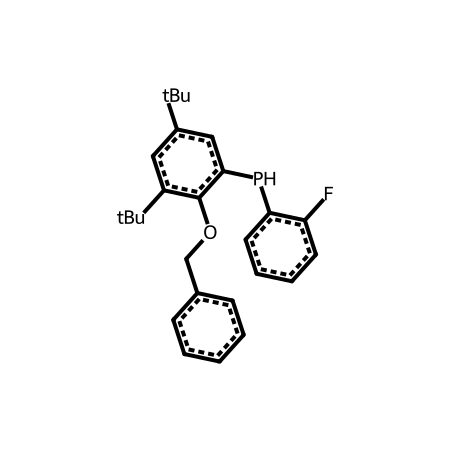 CC(C)(C)c1cc(Pc2ccccc2F)c(OCc2ccccc2)c(C(C)(C)C)c1